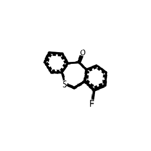 O=C1c2ccccc2SCc2c(F)cccc21